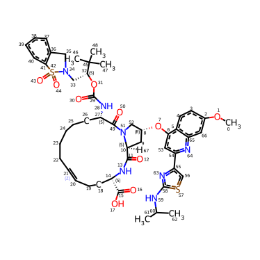 COc1ccc2c(O[C@@H]3C[C@H]4C(=O)N[C@H](C(=O)O)CC/C=C\CCCCC[C@H](NC(=O)O[C@H](CN5Cc6ccccc6S5(=O)=O)C(C)(C)C)C(=O)N4C3)cc(-c3csc(NC(C)C)n3)nc2c1